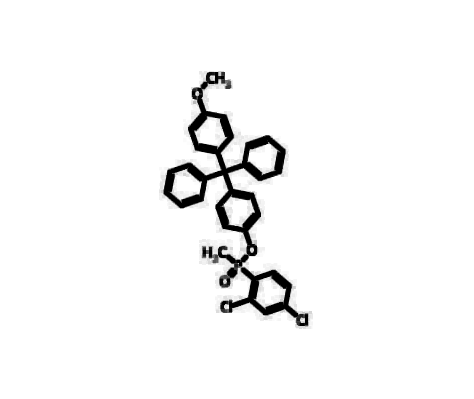 COc1ccc(C(c2ccccc2)(c2ccccc2)c2ccc(OP(C)(=O)c3ccc(Cl)cc3Cl)cc2)cc1